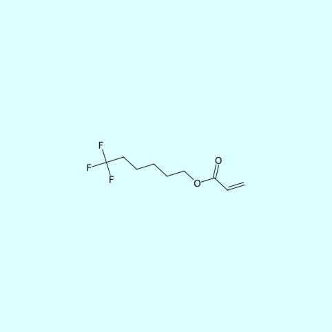 C=CC(=O)OCCCCCC(F)(F)F